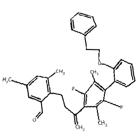 C=C(CCc1c(C)cc(C)cc1C=O)c1c(C)c(F)c(-c2ccccc2OCCc2ccccc2)c(C)c1F